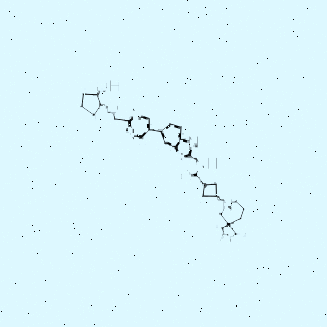 O=C(Nc1nc2ccc(-c3cnc(CO[C@H]4CCC[C@@H]4O)nc3)cc2s1)C1CC(N2CCCC3(COC3)C2)C1